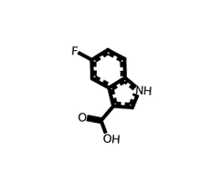 O=C(O)c1c[nH]c2ccc(F)cc12